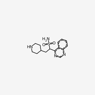 NS(=O)(=O)C(CC1CCNCC1)c1ncnc2ccccc12